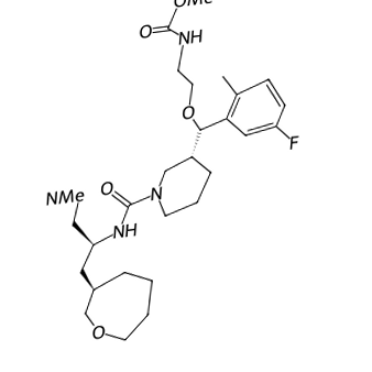 CNC[C@H](C[C@H]1CCCCOC1)NC(=O)N1CCC[C@@H](C(OCCNC(=O)OC)c2cc(F)ccc2C)C1